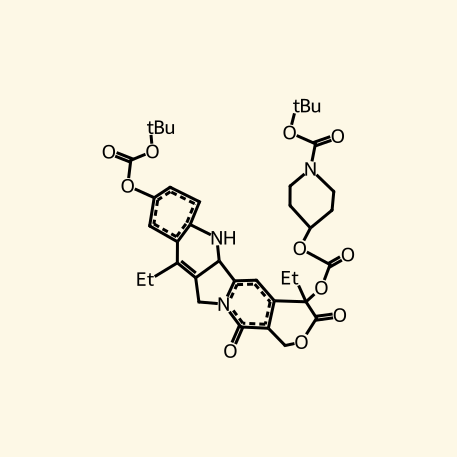 CCC1=C2Cn3c(cc4c(c3=O)COC(=O)C4(CC)OC(=O)OC3CCN(C(=O)OC(C)(C)C)CC3)C2Nc2ccc(OC(=O)OC(C)(C)C)cc21